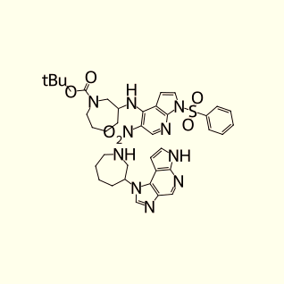 CC(C)(C)OC(=O)N1CCCCC(Nc2c([N+](=O)[O-])cnc3c2ccn3S(=O)(=O)c2ccccc2)C1.c1cc2c(ncc3ncn(C4CCCCNC4)c32)[nH]1